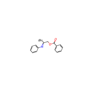 CCC(C)C(COC(=O)c1ccccc1)=Nc1ccccc1